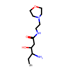 CC(C)CC(N)C(O)CC(=O)NCCN1CCOCC1